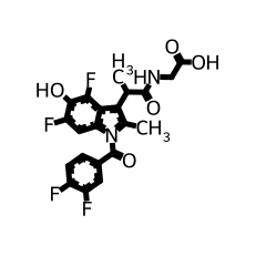 Cc1c(C(C)C(=O)NCC(=O)O)c2c(F)c(O)c(F)cc2n1C(=O)c1ccc(F)c(F)c1